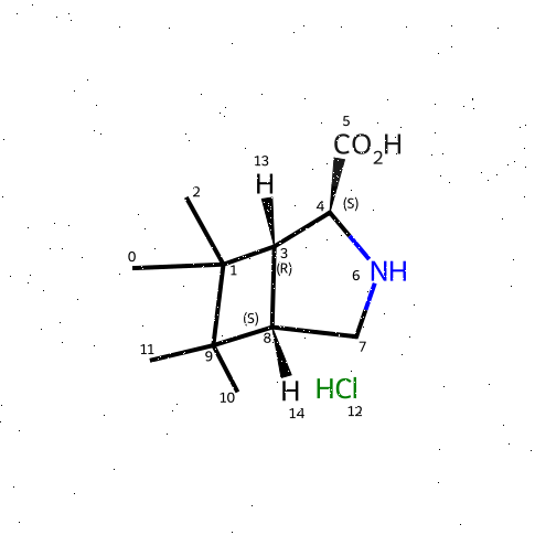 CC1(C)[C@@H]2[C@@H](C(=O)O)NC[C@@H]2C1(C)C.Cl